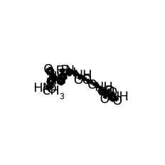 CNC(=O)N1CCc2c(c(N3CCCc4cc(-c5cnn(CCNC(=O)CCOCCOCCNc6ccc7c(c6)C(=O)N(C6CCC(=O)NC6=O)C7=O)c5)c(C(F)F)cc43)nn2C2CCOCC2)C1